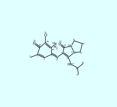 CC1=C/C(=N/c2c(NC(C)C)n3n(c2=O)CCC3)C(N)=C(Cl)C1=O